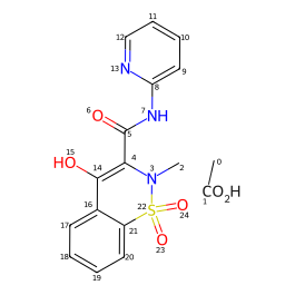 CC(=O)O.CN1C(C(=O)Nc2ccccn2)=C(O)c2ccccc2S1(=O)=O